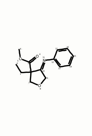 CCC1(C(=O)OC)COC/C1=N\c1ccccc1